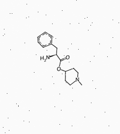 CN1CCC(OC(=O)[C@@H](N)Cc2ccccc2)CC1